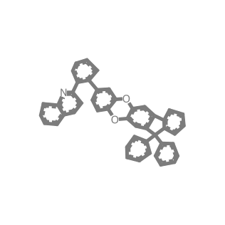 c1ccc(C2(c3ccccc3)c3ccccc3-c3cc4c(cc32)Oc2ccc(-c3ccccc3-c3ccc5ccccc5n3)cc2O4)cc1